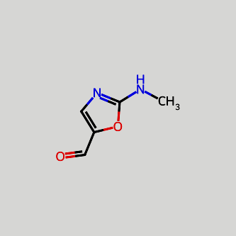 CNc1ncc(C=O)o1